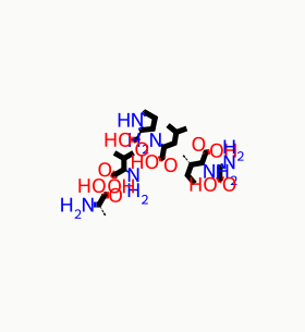 CC(C)C[C@H](N)C(=O)O.CC(C)[C@H](N)C(=O)O.CC[C@H](C)[C@H](N)C(=O)O.C[C@H](N)C(=O)O.NCC(=O)O.O=C(O)[C@@H]1CCCN1